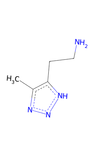 Cc1nn[nH]c1CCN